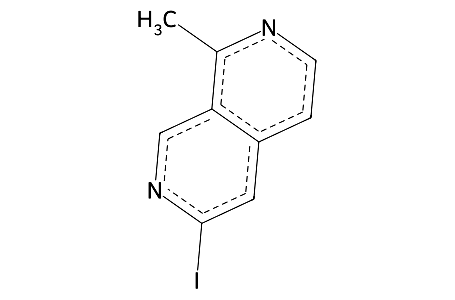 Cc1nccc2cc(I)ncc12